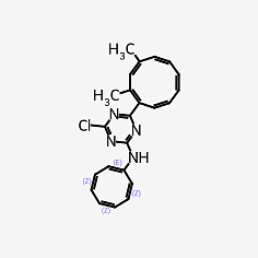 Cc1ccccccc(-c2nc(Cl)nc(NC3=C/C=C\C=C/C=C\3)n2)c(C)c1